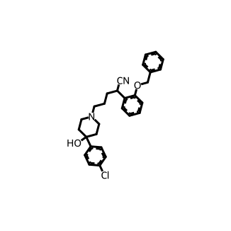 N#CC(CCCN1CCC(O)(c2ccc(Cl)cc2)CC1)c1ccccc1OCc1ccccc1